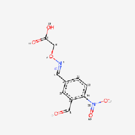 O=Cc1cc(/C=N/OCC(=O)O)ccc1[N+](=O)[O-]